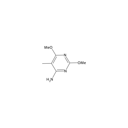 COc1nc(N)c(C)c(OC)n1